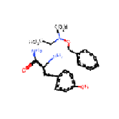 NC(=O)C(N)Cc1ccc(O)cc1.O=C(O)CN(OCc1ccccc1)C(=O)O